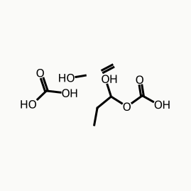 C=C.CCC(O)OC(=O)O.CO.O=C(O)O